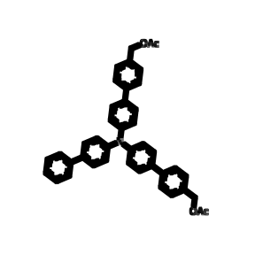 CC(=O)OCc1ccc(-c2ccc(N(c3ccc(-c4ccccc4)cc3)c3ccc(-c4ccc(COC(C)=O)cc4)cc3)cc2)cc1